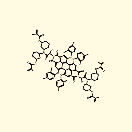 C=C(C)C(=O)OC1CCCC(N(C(=O)C(C(C)C)N2C(=O)c3cc(Oc4ccc(C)cc4C)c4c5c(Oc6ccc(C)cc6C)cc6c7c(cc(Oc8ccc(C)cc8C)c(c8c(Oc9ccc(C)cc9C)cc(c3c48)C2=O)c75)C(=O)N(C(C(=O)N(C2CCCC(OC(=O)C(=C)C)C2)C2CCCC(OC(=O)C(=C)C)C2)C(C)C)C6=O)C2CCCC(OC(=O)C(=C)C)C2)C1